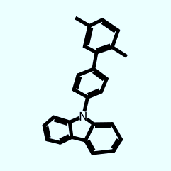 Cc1ccc(C)c(-c2ccc(-n3c4ccccc4c4ccccc43)cc2)c1